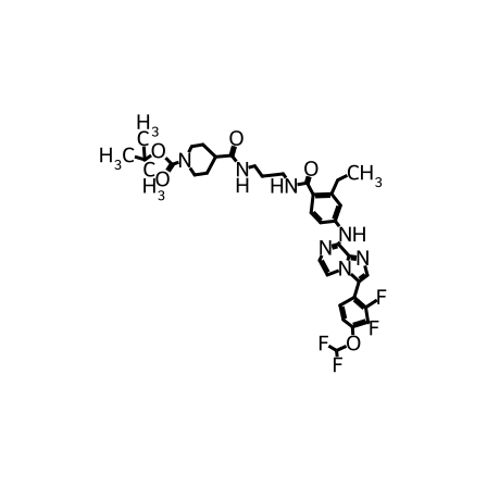 CCc1cc(Nc2nccn3c(-c4ccc(OC(F)F)c(F)c4F)cnc23)ccc1C(=O)NCCCNC(=O)C1CCN(C(=O)OC(C)(C)C)CC1